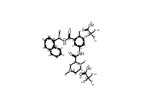 Cc1ccc(NC(=O)C2CN(C)CCN2C)cc1C(=O)N[C@H](C)c1cccc2ccccc12.O=C(O)C(F)(F)F.O=C(O)C(F)(F)F